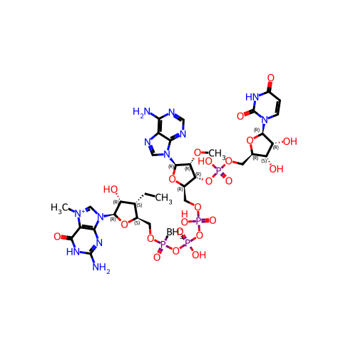 [BH3-]P(=O)(OC[C@H]1O[C@@H](n2c[n+](C)c3c(=O)[nH]c(N)nc32)[C@H](O)[C@@H]1CC)OP(=O)(O)OP(=O)(O)OC[C@H]1O[C@@H](n2cnc3c(N)ncnc32)[C@H](OC)[C@@H]1OP(=O)(O)OC[C@H]1O[C@@H](n2ccc(=O)[nH]c2=O)[C@H](O)[C@@H]1O